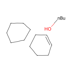 C1=CCCCC1.C1CCCCC1.CCCCO